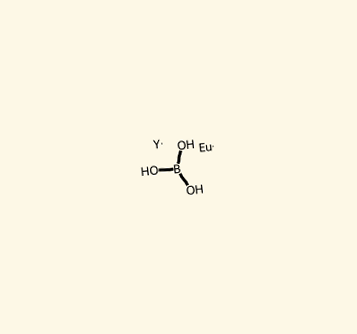 OB(O)O.[Eu].[Y]